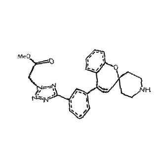 COC(=O)Cn1nnc(-c2cccc(C3=CC4(CCNCC4)Oc4ccccc43)c2)n1